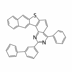 c1ccc(-c2cccc(-c3nc(-c4ccccc4)c4ccc5sc6cc7ccccc7cc6c5c4n3)c2)cc1